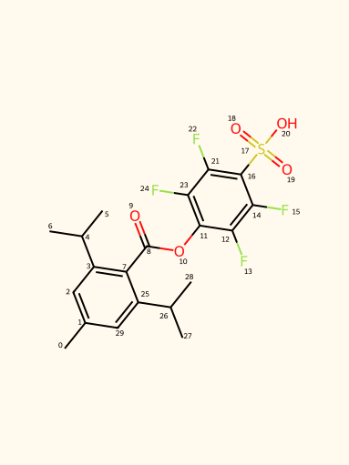 Cc1cc(C(C)C)c(C(=O)Oc2c(F)c(F)c(S(=O)(=O)O)c(F)c2F)c(C(C)C)c1